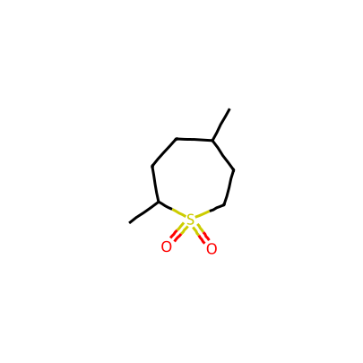 CC1CCC(C)S(=O)(=O)CC1